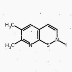 Cc1cc2c(nc1C)SN(I)C=C2